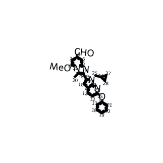 COc1cc(C=O)cc2nc(-c3cc4ccc(Oc5ccccc5)nc4n3CC3CC3)c(C)n12